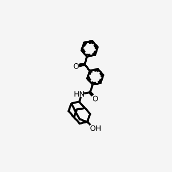 O=C(NC1C2CC3CC1CC(O)(C3)C2)c1cccc(C(=O)c2ccccc2)c1